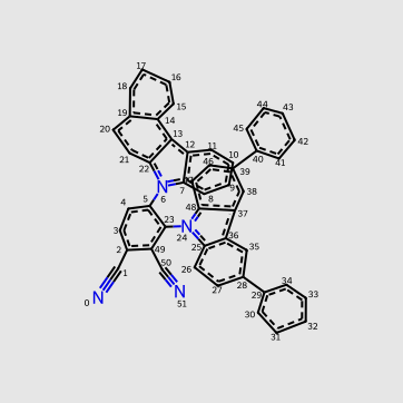 N#Cc1ccc(-n2c3ccccc3c3c4ccccc4ccc32)c(-n2c3ccc(-c4ccccc4)cc3c3cc(-c4ccccc4)ccc32)c1C#N